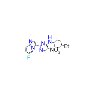 CCC1CCC(Nc2nc(-c3cnc4ccc(F)cn34)ncc2[N+](=O)[O-])CC1